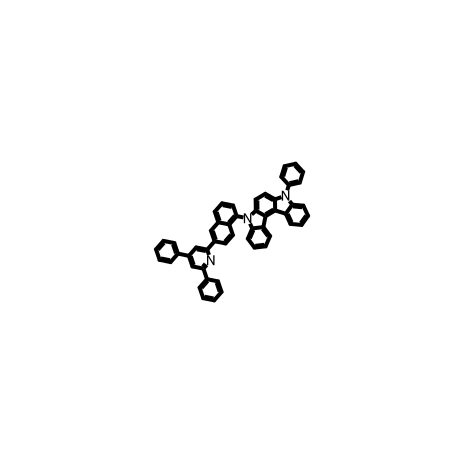 c1ccc(-c2cc(-c3ccccc3)nc(-c3ccc4c(-n5c6ccccc6c6c7c8ccccc8n(-c8ccccc8)c7ccc65)cccc4c3)c2)cc1